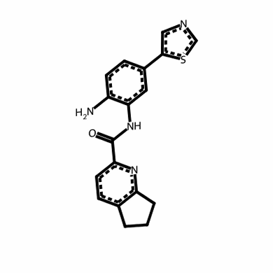 Nc1ccc(-c2cncs2)cc1NC(=O)c1ccc2c(n1)CCC2